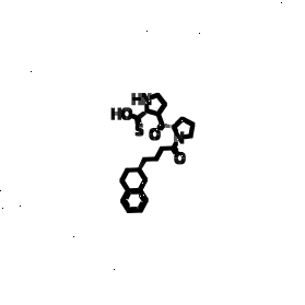 O=C(C1CCN[C@@H]1C(O)=S)[C@@H]1CCCN1C(=O)CCC[C@@H]1CCc2ccccc2C1